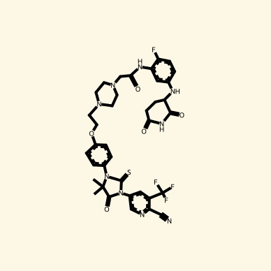 CC1(C)C(=O)N(c2cnc(C#N)c(C(F)(F)F)c2)C(=S)N1c1ccc(OCCN2CCN(CC(=O)Nc3cc(NC4CCC(=O)NC4=O)ccc3F)CC2)cc1